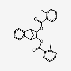 Cc1ccccc1C(=O)OC1C2CC(c3ccccc32)C1OC(=O)c1ccccc1C